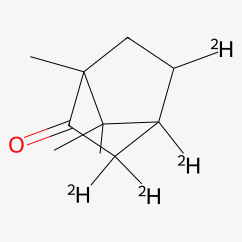 [2H]C1CC2(C)C(=O)C([2H])([2H])C1([2H])C2(C)C